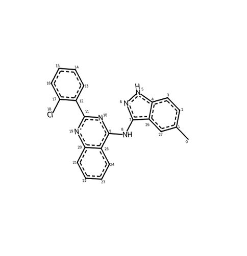 Cc1ccc2[nH]nc(Nc3nc(-c4ccccc4Cl)nc4ccccc34)c2c1